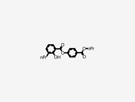 CCCOC(=O)c1ccc(OC(=O)c2cccc(CCC)c2O)cc1